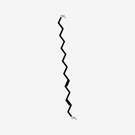 CCC=CCC=CCCCCCCCCCC